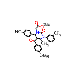 COc1ccc(C(=O)C2=C(C)N(c3cccc(C(F)(F)F)c3)C(=O)N(CC(=O)OC(C)(C)C)C2c2ccc(C#N)cc2)cc1